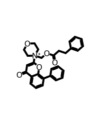 O=C(CCc1ccccc1)OC[N+]1(c2cc(=O)c3cccc(-c4ccccc4)c3o2)CCOCC1